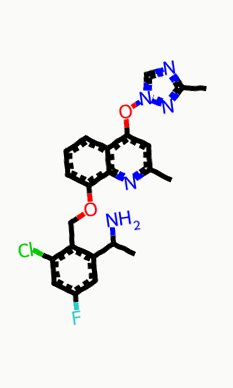 Cc1cc(On2cnc(C)n2)c2cccc(OCc3c(Cl)cc(F)cc3C(C)N)c2n1